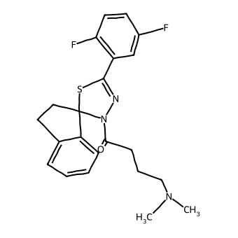 CN(C)CCCC(=O)N1N=C(c2cc(F)ccc2F)SC12CCc1ccccc12